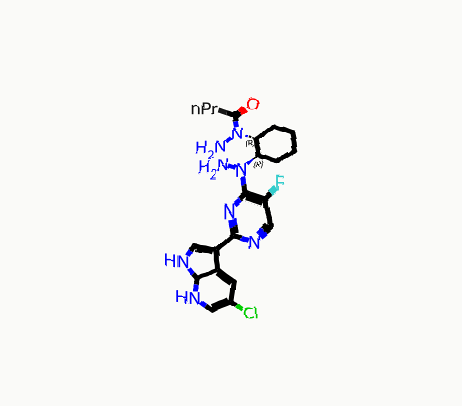 CCCC(=O)N(N)[C@@H]1CCCC[C@H]1N(N)c1nc(C2=CNC3NC=C(Cl)C=C23)ncc1F